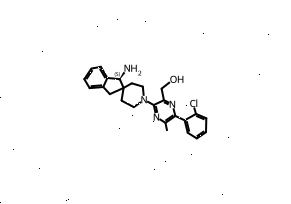 Cc1nc(N2CCC3(CC2)Cc2ccccc2[C@H]3N)c(CO)nc1-c1ccccc1Cl